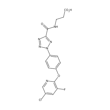 O=C(O)CCNC(=O)c1nnn(-c2ccc(Oc3ncc(Cl)cc3F)cc2)n1